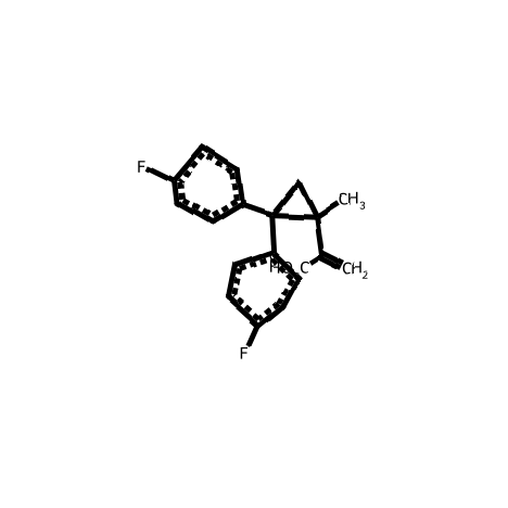 C=C(C(=O)O)C1(C)CC1(c1ccc(F)cc1)c1ccc(F)cc1